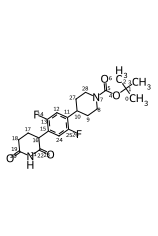 CC(C)(C)OC(=O)N1CCC(c2cc(F)c(C3CCC(=O)NC3=O)cc2F)CC1